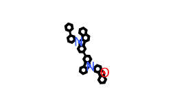 c1ccc(-c2cccc(-n3c4ccc(-c5ccc6c(c5)c5ccccc5n6-c5ccc6oc7ccccc7c6c5)cc4c4ccc5ccccc5c43)c2)cc1